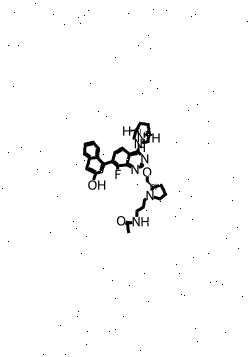 CC(=O)NCCCN1CCC[C@@H]1COc1nc(N2C[C@H]3CC[C@@H](C2)N3)c2ccc(-c3cc(O)cc4ccccc34)c(F)c2n1